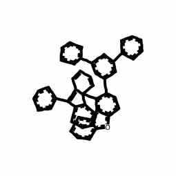 C1=CC2=C(c3ccccc3)c3ccccc3C2(c2c(-c3cc(-c4ccccc4)cc(-c4ccccc4)c3)ccc3oc4ccccc4c23)C=C1